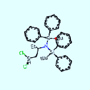 CCC(C[SiH](Cl)Cl)N([Si](c1ccccc1)(c1ccccc1)C(C)(C)C)[Si](c1ccccc1)(c1ccccc1)C(C)(C)C